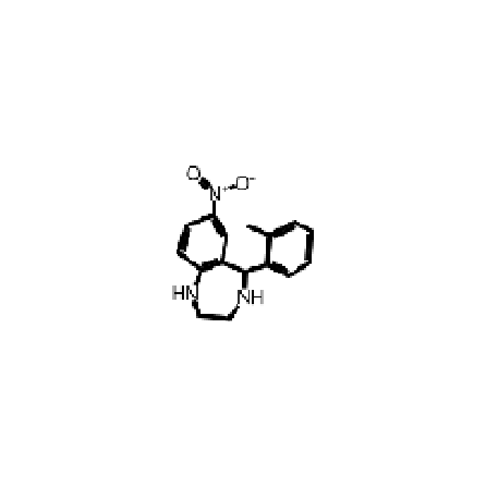 Cc1ccccc1C1NCCNc2ccc([N+](=O)[O-])cc21